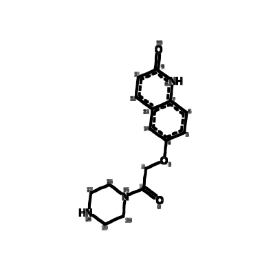 O=C(COc1ccc2[nH]c(=O)ccc2c1)N1CCNCC1